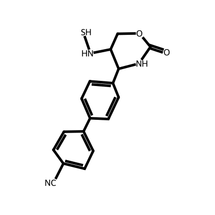 N#Cc1ccc(-c2ccc(C3NC(=O)OCC3NS)cc2)cc1